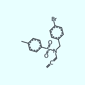 C=C=CN(Cc1ccc(Br)cc1)S(=O)(=O)c1ccc(C)cc1